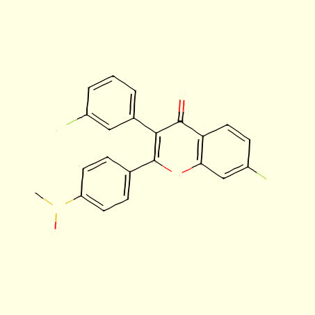 C[S+]([O-])c1ccc(-c2oc3cc(F)ccc3c(=O)c2-c2cccc(F)c2)cc1